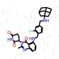 Cc1nc2cccc(NCc3ccc(CNC45CC6CC7CC(C4)C75C6)cc3F)c2c(=O)n1C1CCC(=O)NC1=O